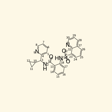 O=C(NC(c1ccccn1)C1CC1)c1ccccc1NS(=O)(=O)c1cccc2cccnc12